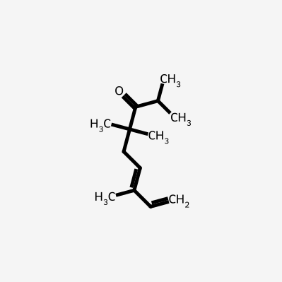 C=CC(C)=CCC(C)(C)C(=O)C(C)C